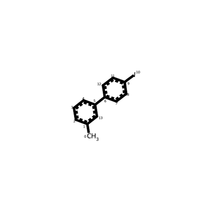 Cc1cccc(-c2c[c]c(I)cc2)c1